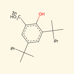 CC(C)C(C)(C)c1cc(C(=O)O)c(O)c(C(C)(C)C(C)C)c1.[Zn]